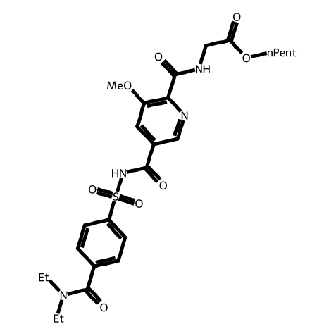 CCCCCOC(=O)CNC(=O)c1ncc(C(=O)NS(=O)(=O)c2ccc(C(=O)N(CC)CC)cc2)cc1OC